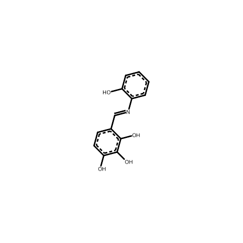 Oc1ccccc1/N=C/c1ccc(O)c(O)c1O